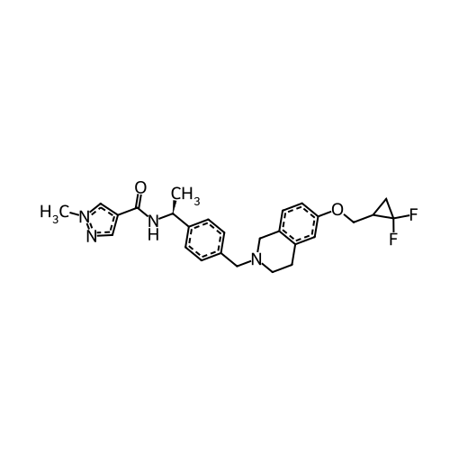 C[C@H](NC(=O)c1cnn(C)c1)c1ccc(CN2CCc3cc(OCC4CC4(F)F)ccc3C2)cc1